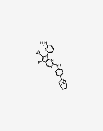 Nc1cccc(-n2c(C3CC3)c(F)c3cnc(Nc4ccc(C5CC6CCC(C5)N6)cc4)nc32)n1